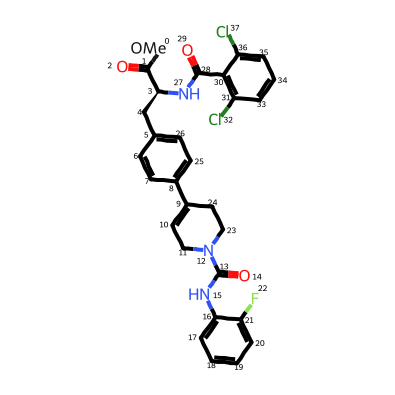 COC(=O)[C@H](Cc1ccc(C2=CCN(C(=O)Nc3ccccc3F)CC2)cc1)NC(=O)c1c(Cl)cccc1Cl